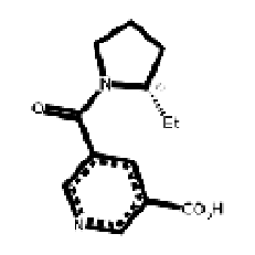 CC[C@H]1CCCN1C(=O)c1cncc(C(=O)O)c1